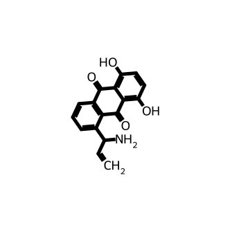 C=CC(N)c1cccc2c1C(=O)c1c(O)ccc(O)c1C2=O